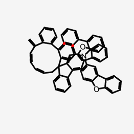 C=C1/C=C\C=C/CC2(c3cc(N(c4ccc5oc6ccccc6c5c4)c4ccccc4-c4ccccc4)ccc3-c3ccccc31)c1ccccc1-c1cc3c(cc12)oc1ccccc13